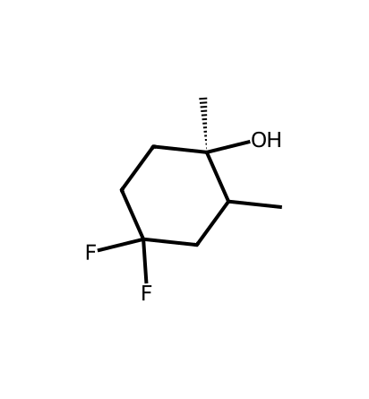 CC1CC(F)(F)CC[C@@]1(C)O